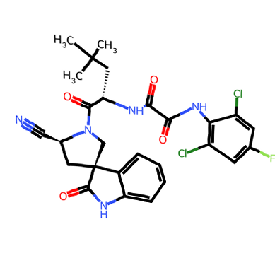 CC(C)(C)C[C@H](NC(=O)C(=O)Nc1c(Cl)cc(F)cc1Cl)C(=O)N1C[C@]2(C[C@H]1C#N)C(=O)Nc1ccccc12